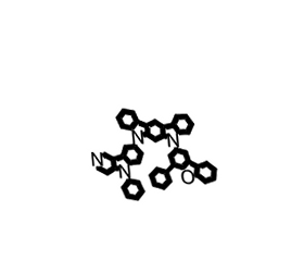 c1ccc(-c2cc(-n3c4ccccc4c4cc5c6ccccc6n(-c6ccc7c(c6)c6cnccc6n7-c6ccccc6)c5cc43)cc3c2oc2ccccc23)cc1